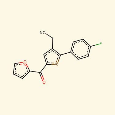 N#CCc1cc(C(=O)c2ccco2)sc1-c1ccc(F)cc1